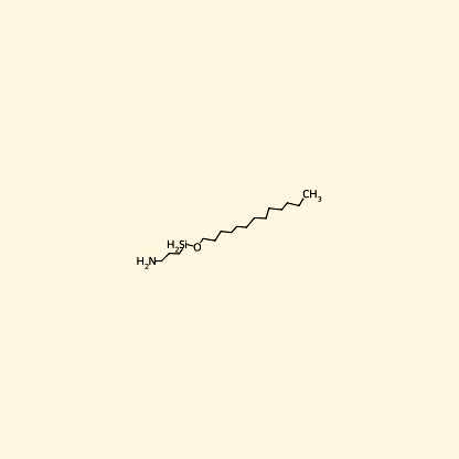 CCCCCCCCCCCCCO[SiH2]CCCN